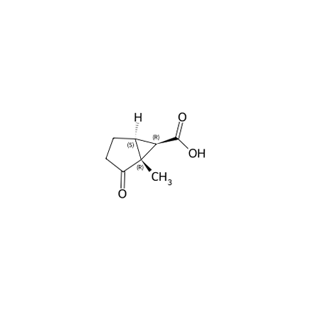 C[C@@]12C(=O)CC[C@H]1[C@H]2C(=O)O